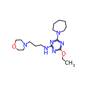 CCOc1nc(NCCCN2CCOCC2)nc(N2CCCCCC2)n1